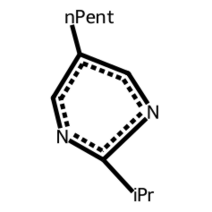 CCCCCc1cnc(C(C)C)nc1